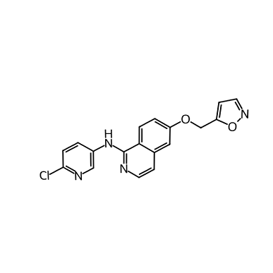 Clc1ccc(Nc2nccc3cc(OCc4ccno4)ccc23)cn1